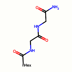 CCCCCCC(=O)NCC(=O)NCC(N)=O